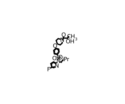 CC(C)CN(c1ccc(F)cn1)S(=O)(=O)c1ccc(OC2CCN(C(=O)C(C)O)CC2)cc1